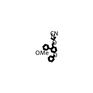 COc1ccccc1-c1cc(Oc2ccccc2)ccc1COC1CN(C#N)C1